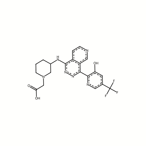 O=C(O)CN1CCCC(Nc2nnc(-c3ncc(C(F)(F)F)cc3O)c3cnccc23)C1